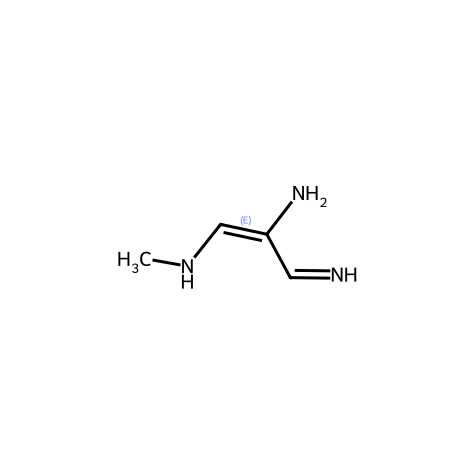 CN/C=C(/N)C=N